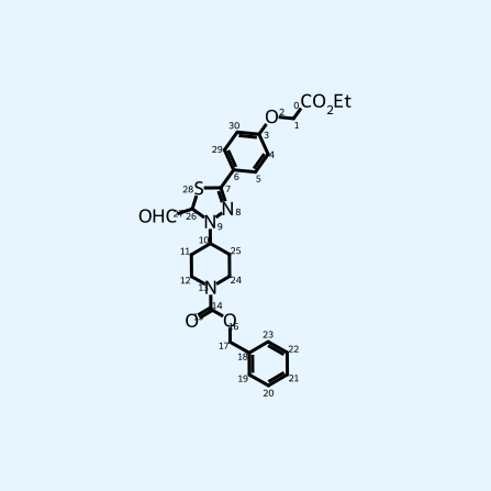 CCOC(=O)COc1ccc(C2=NN(C3CCN(C(=O)OCc4ccccc4)CC3)C(C=O)S2)cc1